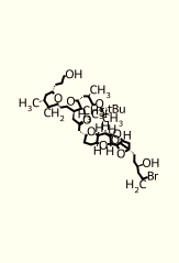 C=C(Br)C[C@H](O)CC[C@@]12C[C@H]3O[C@H]4[C@@H](O1)[C@H]1O[C@@H](CC(=O)C[C@H]5C(C[C@H]6O[C@@H](CCCO)C[C@@H](C)C6=C)O[C@H](C[C@H](C)CO[Si](C)(C)C(C)(C)C)[C@@H]5C)CC[C@@H]1O[C@H]4C3O2